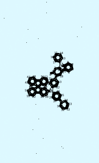 CC1Cc2c(c3ccccc3n2-c2ccccc2)C=C1c1ccc(N(c2ccc(C3C=CC=CC3)cc2)c2ccc3c(c2)C2(c4ccccc4-c4ccccc42)c2ccccc2-3)cc1